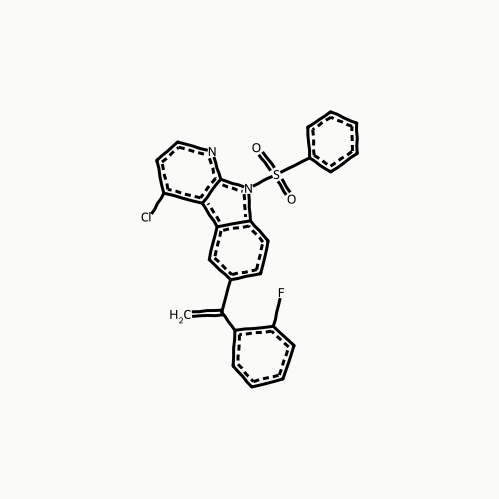 C=C(c1ccc2c(c1)c1c(Cl)ccnc1n2S(=O)(=O)c1ccccc1)c1ccccc1F